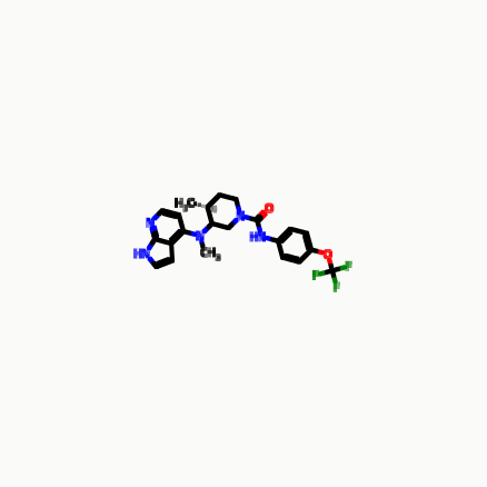 C[C@@H]1CCN(C(=O)Nc2ccc(OC(F)(F)F)cc2)CC1N(C)c1ccnc2[nH]ccc12